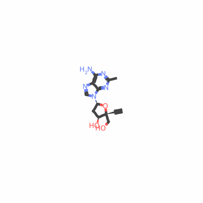 C#C[C@]1(CO)O[C@@H](n2cnc3c(N)nc(C)nc32)C[C@@H]1O